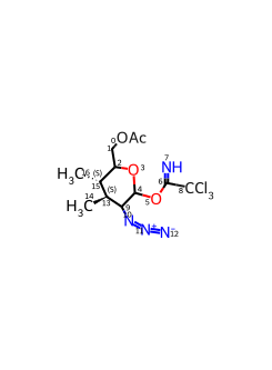 CC(=O)OCC1OC(OC(=N)C(Cl)(Cl)Cl)C(N=[N+]=[N-])[C@@H](C)[C@@H]1C